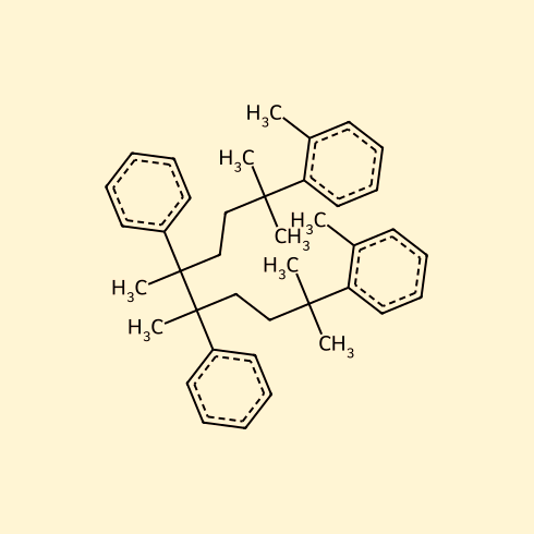 Cc1ccccc1C(C)(C)CCC(C)(c1ccccc1)C(C)(CCC(C)(C)c1ccccc1C)c1ccccc1